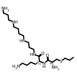 [CH2][CH]CSC[C@H](N)C(=O)N[C@@H](CCCCN)C(=O)NCCCNCCCCNCCCN